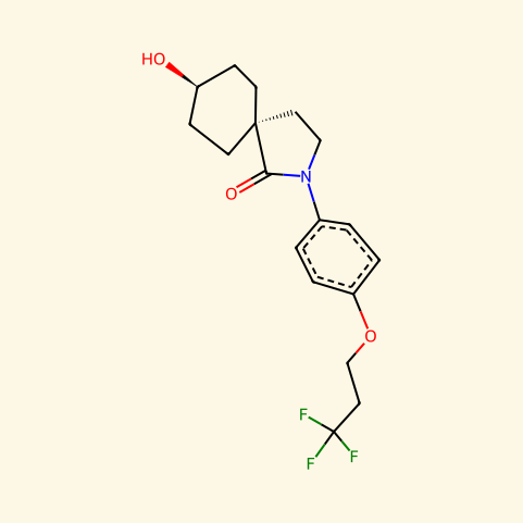 O=C1N(c2ccc(OCCC(F)(F)F)cc2)CC[C@]12CC[C@H](O)CC2